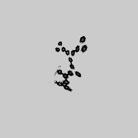 CC(C)(C)c1ccc2c3ccc(C(C)(C)C)cc3c3cc(-c4cc(-c5ccc(N(c6ccccc6)c6ccc(-c7ccc(N(c8ccc(-c9ccc(N(c%10ccccc%10)c%10ccccc%10)cc9)cc8)c8ccc(-c9ccc(N(c%10ccccc%10)c%10ccccc%10)cc9)cc8)cc7)cc6)cc5)cc(-c5cc(P(=O)=[SH](=S)I)cc(P(=O)=[SH](=S)I)c5)c4)ccc3c2c1